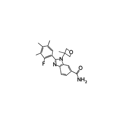 Cc1cc(-c2nc3ccc(C(N)=O)cc3n2C2(C)COC2)c(F)c(C)c1C